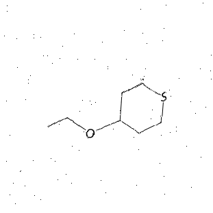 CCOC1C[C]SCC1